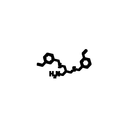 C=Cc1cccc(CSCC(CN)CSCc2cccc(C=C)c2)c1